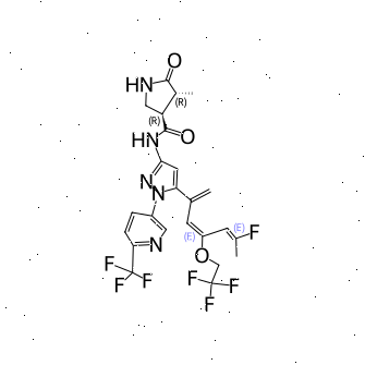 C=C(/C=C(\C=C(/C)F)OCC(F)(F)F)c1cc(NC(=O)[C@H]2CNC(=O)[C@@H]2C)nn1-c1ccc(C(F)(F)F)nc1